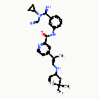 C=CC(CC(C)(C)C)N/C=C(\C)c1ccnc(C(=O)Nc2cccc(C(=N)N(C=N)C3CC3)c2)c1